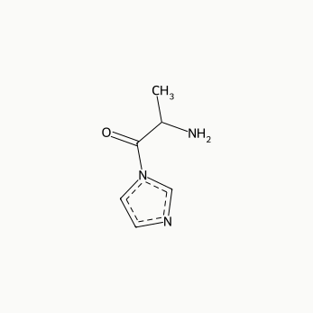 CC(N)C(=O)n1ccnc1